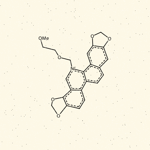 COCCOC[n+]1cc2c3c(ccc2c2ccc4cc5c(cc4c21)OCO5)OCO3